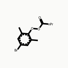 CCCC(=O)OOc1c(C)cc(Br)cc1C